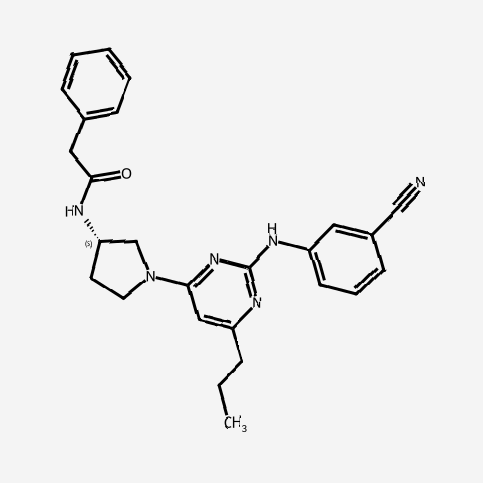 CCCc1cc(N2CC[C@H](NC(=O)Cc3ccccc3)C2)nc(Nc2cccc(C#N)c2)n1